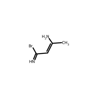 C/C(N)=C/C(=N)Br